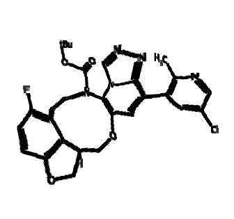 Cc1ncc(Cl)cc1-c1cc2c(n3cnnc13)N(C(=O)OC(C)(C)C)Cc1c(F)ccc3c1[C@H](CO3)CO2